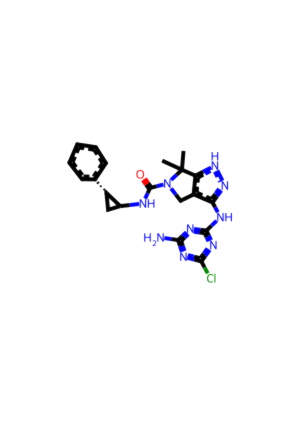 CC1(C)c2[nH]nc(Nc3nc(N)nc(Cl)n3)c2CN1C(=O)NC1C[C@@H]1c1ccccc1